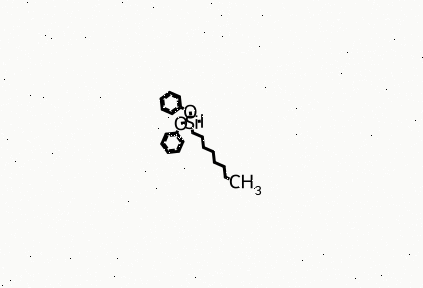 CCCCCCCC[Si](I)(Oc1ccccc1)Oc1ccccc1